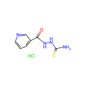 Cl.NC(=S)NNC(=O)c1cccnc1